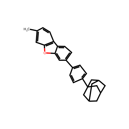 Cc1ccc2c(c1)oc1cc(-c3ccc(C45CC6CC(CC(C6)C4)C5)cc3)ccc12